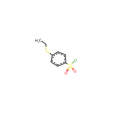 CCSc1ccc(S(=O)(=O)Cl)cc1